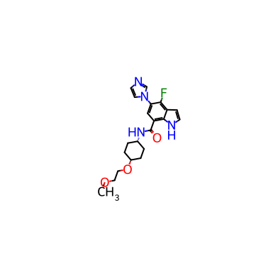 COCCO[C@H]1CC[C@H](NC(=O)c2cc(-n3ccnc3)c(F)c3cc[nH]c23)CC1